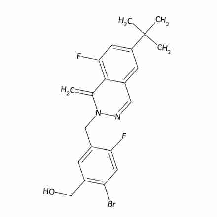 C=C1c2c(F)cc(C(C)(C)C)cc2C=NN1Cc1cc(CO)c(Br)cc1F